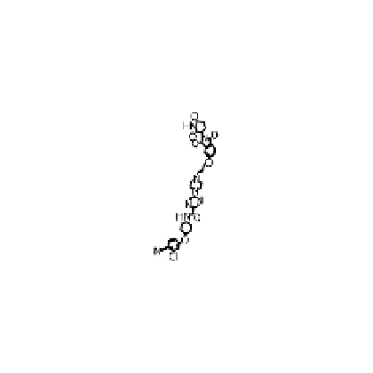 N#Cc1ccc(O[C@H]2CC[C@H](NC(=O)c3cnc(N4CCN(CCCOc5ccc6c(c5)C(=O)N(C5CCC(=O)NC5=O)C6=O)CC4)cn3)CC2)cc1Cl